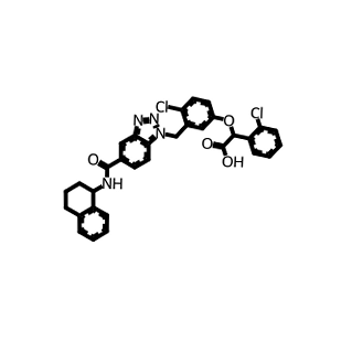 O=C(NC1CCCc2ccccc21)c1ccc2c(c1)nnn2Cc1cc(OC(C(=O)O)c2ccccc2Cl)ccc1Cl